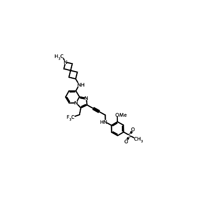 COc1cc(S(C)(=O)=O)ccc1NCC#Cc1nc2c(NC3CC4(C3)CN(C)C4)cccn2c1CC(F)(F)F